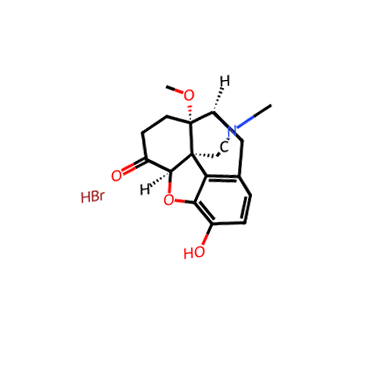 Br.CO[C@@]12CCC(=O)[C@@H]3Oc4c(O)ccc5c4[C@@]31CCN(C)[C@@H]2C5